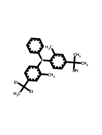 CCCC(C)(C)c1ccc(P(c2ccccc2)c2ccc(C(C)(CC)CC)cc2C)c(C)c1